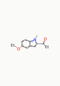 CCOc1ccc2c(c1)cc(C(=O)CC)n2C